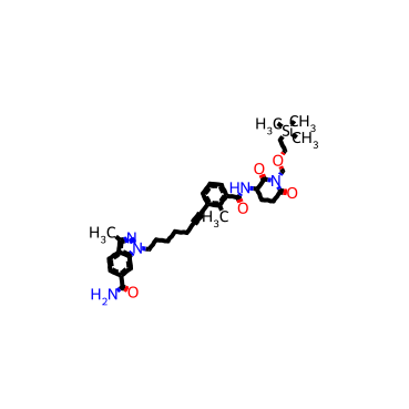 Cc1c(C#CCCCCCn2nc(C)c3ccc(C(N)=O)cc32)cccc1C(=O)NC1CCC(=O)N(COCC[Si](C)(C)C)C1=O